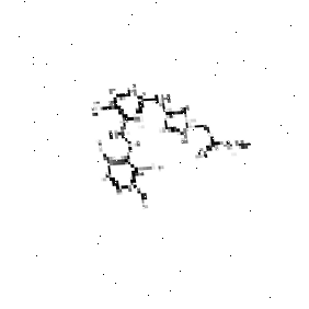 CNC(=O)Cn1cc(Nc2ncc(Cl)c(NCc3c(F)ccc(F)c3F)n2)cn1